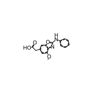 COc1cc(CC(=O)O)cc2oc(Nc3ccccc3)nc12